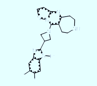 CCn1c(C2CN(c3c4c(nc5ccnn35)CCNCC4)C2)nc2cc(Cl)c(Cl)cc21